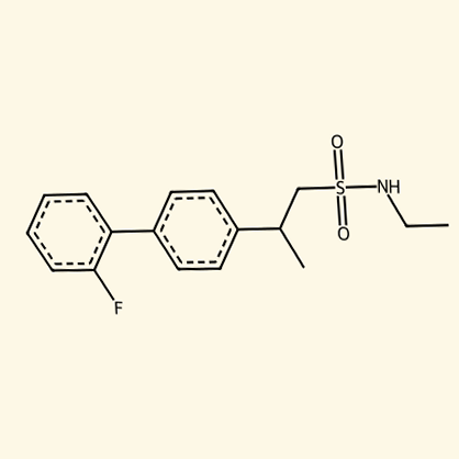 CCNS(=O)(=O)CC(C)c1ccc(-c2ccccc2F)cc1